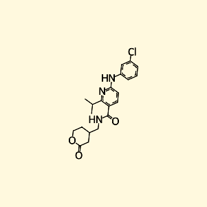 CC(C)c1nc(Nc2cccc(Cl)c2)ccc1C(=O)NCC1CCOC(=O)C1